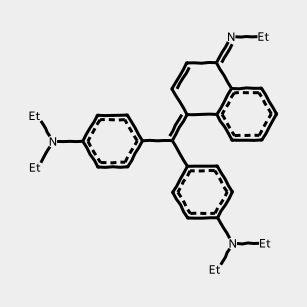 CC/N=C1/C=CC(=C(c2ccc(N(CC)CC)cc2)c2ccc(N(CC)CC)cc2)c2ccccc21